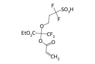 C=CC(=O)OC(OCCC(F)(F)S(=O)(=O)O)(C(=O)OCC)C(F)(F)F